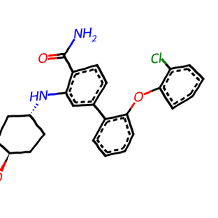 NC(=O)c1ccc(-c2ccccc2Oc2ccccc2Cl)cc1N[C@H]1CC[C@H](O)CC1